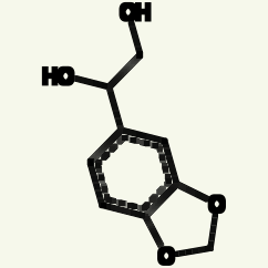 OCC(O)c1ccc2c(c1)OCO2